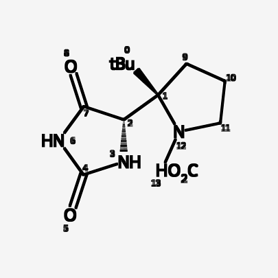 CC(C)(C)[C@@]1([C@@H]2NC(=O)NC2=O)CCCN1C(=O)O